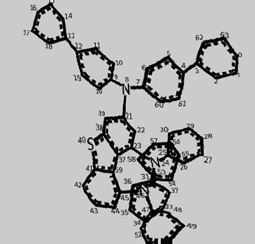 c1ccc(-c2ccc(N(c3ccc(-c4ccccc4)cc3)c3cc(N(c4ccccc4)c4ccccc4)c4c(c3)sc3cccc(N(c5ccccc5)c5ccccc5)c34)cc2)cc1